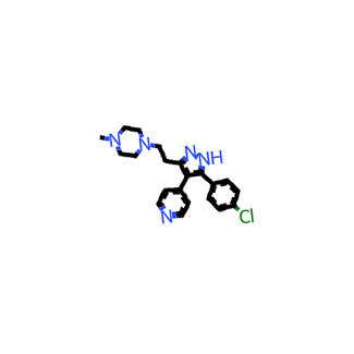 CN1CCN(CCc2n[nH]c(-c3ccc(Cl)cc3)c2-c2ccncc2)CC1